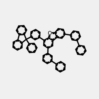 c1ccc(-c2cccc(-c3ccc4oc5c(-c6cccc(C7(c8ccccc8)c8ccccc8-c8ccccc87)c6)cc(-c6cccc(-c7ccccc7)c6)cc5c4c3)c2)cc1